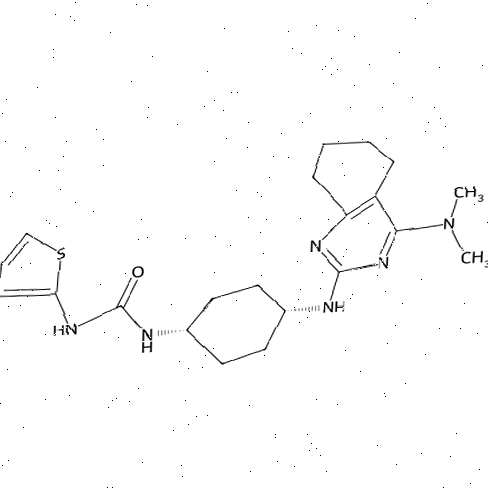 CN(C)c1nc(N[C@H]2CC[C@@H](NC(=O)Nc3cccs3)CC2)nc2c1CCCC2